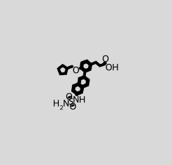 NS(=O)(=O)Nc1ccc2cc(-c3cc(CCC(=O)O)ccc3OCC3CCCC3)ccc2c1